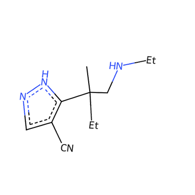 CCNCC(C)(CC)c1[nH]ncc1C#N